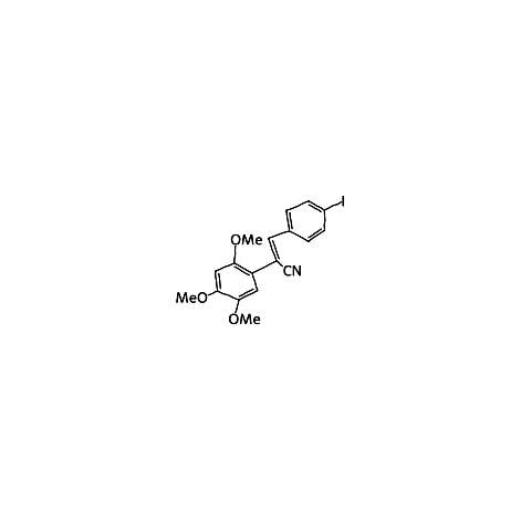 COc1cc(OC)c(C(C#N)=Cc2ccc(I)cc2)cc1OC